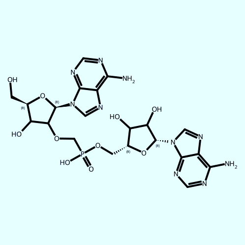 Nc1ncnc2c1ncn2[C@@H]1O[C@H](COP(=O)(O)COC2C(O)[C@@H](CO)O[C@H]2n2cnc3c(N)ncnc32)C(O)C1O